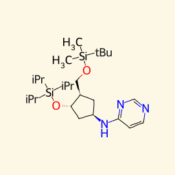 CC(C)[Si](O[C@H]1C[C@H](Nc2ccncn2)C[C@@H]1CO[Si](C)(C)C(C)(C)C)(C(C)C)C(C)C